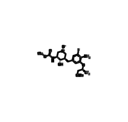 COC[C@@H](Oc1cc(C[C@@H]2C[S@@+]([O-])C[C@H](NC(=O)OC(C)(C)C)[C@H]2O)cc(F)c1N)C(F)(F)F